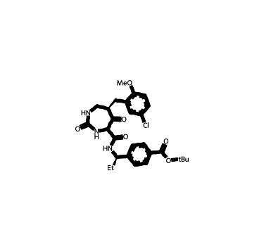 CC[C@@H](NC(=O)C1NC(=O)NC[C@@H](Cc2cc(Cl)ccc2OC)C1=O)c1ccc(C(=O)OC(C)(C)C)cc1